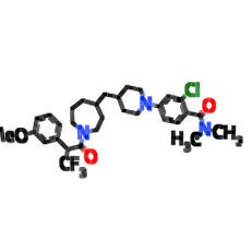 COc1cccc(C(C(=O)N2CCCC(CC3CCN(c4ccc(C(=O)N(C)C)c(Cl)c4)CC3)CC2)C(F)(F)F)c1